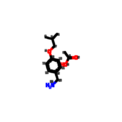 CC(=O)O.CC(C)COc1ccc(CN)cc1